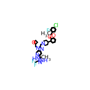 CC1(c2cc3nc(CN4CCC(c5cccc6c5OC(C)(c5ccc(Cl)cc5F)O6)CC4)n(CC4CCO4)c3cn2)NN=C(C(F)F)N1